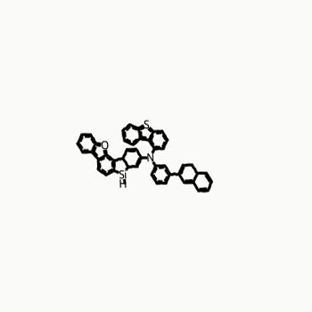 C[SiH]1c2ccc3c(oc4ccccc43)c2C2C=CC(N(c3cccc(C4=CCC5C=CC=CC5=C4)c3)c3cccc4sc5ccccc5c34)=CC21